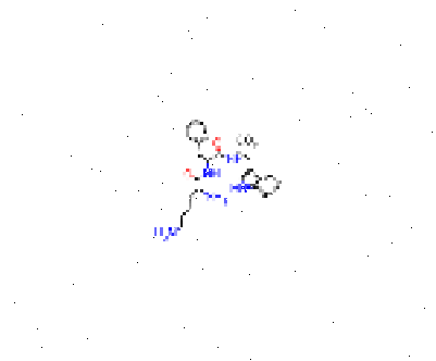 NCCCC[C@H](N)C(=O)N[C@@H](Cc1ccccc1)C(=O)N[C@@H](Cc1c[nH]c2ccccc12)C(=O)O